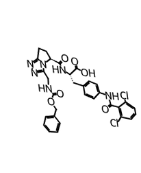 O=C(NCc1nnc2n1[C@H](C(=O)N[C@@H](Cc1ccc(NC(=O)c3c(Cl)cccc3Cl)cc1)C(=O)O)CC2)OCc1ccccc1